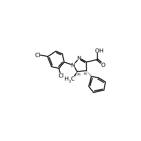 C[C@@H]1[C@@H](c2ccccc2)C(C(=O)O)=NN1c1ccc(Cl)cc1Cl